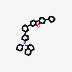 c1ccc(-c2ccc3c(c2)oc2cc(-c4cccc(-c5ccc(N(c6ccccc6)c6cccc7ccccc67)cc5)c4)ccc23)cc1